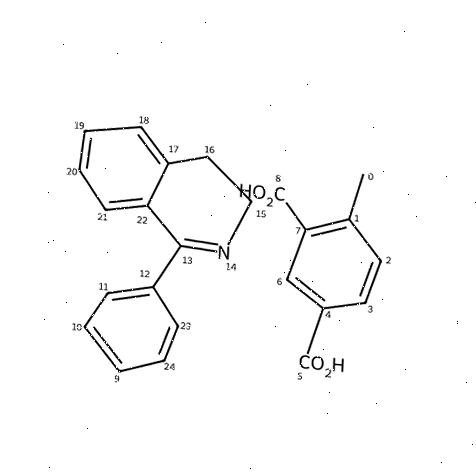 Cc1ccc(C(=O)O)cc1C(=O)O.c1ccc(C2=NCCc3ccccc32)cc1